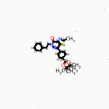 Cc1nc2c(=O)n(CCc3ccccc3)nc(-c3ccc(B4OC(C)(C)C(C)(C)O4)cc3)c2s1